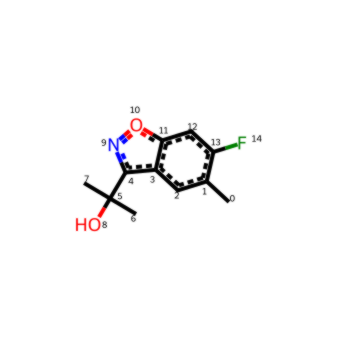 Cc1cc2c(C(C)(C)O)noc2cc1F